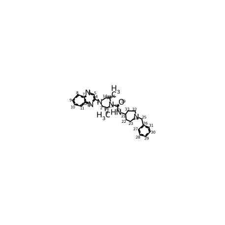 C[C@@H]1CN(c2cnc3ccccc3n2)C[C@@H](C)N1C(=O)NC1CCN(Cc2ccccc2)CC1